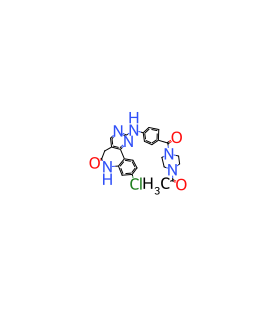 CC(=O)N1CCN(C(=O)c2ccc(Nc3ncc4c(n3)-c3ccc(Cl)cc3NC(=O)C4)cc2)CC1